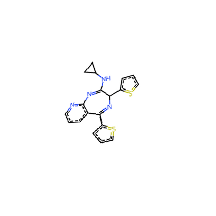 c1csc(C2=NC(c3cccs3)C(NC3CC3)=Nc3ncccc32)c1